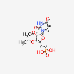 CCOC1C(CCP(=O)(O)O)OC(n2ccc(=O)[nH]c2=O)C1OC